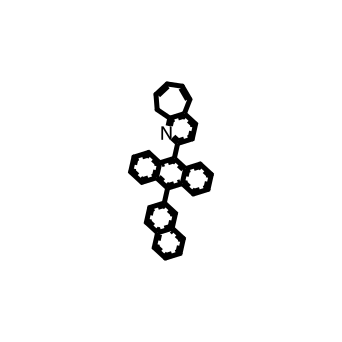 C1=CCc2nc(-c3c4ccccc4c(-c4ccc5ccccc5c4)c4ccccc34)ccc2C=C1